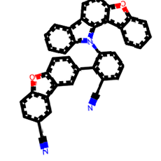 N#Cc1ccc2oc3ccc(-c4c(C#N)cccc4-n4c5ccccc5c5ccc6oc7ccccc7c6c54)cc3c2c1